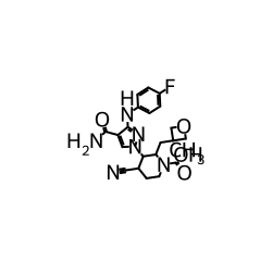 CC1(CC2C(n3cc(C(N)=O)c(Nc4ccc(F)cc4)n3)C(C#N)CCN2C(=O)O)COC1